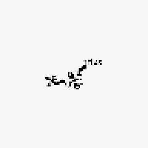 CCCCCCC=COP(=O)([O-])OCC[N+](C)(C)C